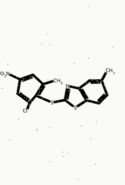 Cc1ccc2sc(Sc3c(C)cc([N+](=O)[O-])cc3Cl)nc2c1